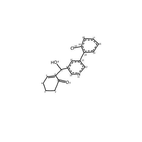 O=C1CCCC=C1C(O)c1cncc(-c2ccccc2Cl)c1